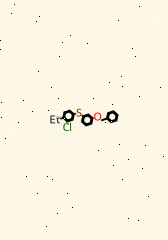 [CH2]Cc1ccc(Sc2cccc(OCc3ccccc3)c2)cc1Cl